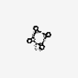 [O-][n+]1c2nc(nc3[nH]c(nc4nc(nc5[nH]c1c1ccccc51)-c1ccccc1-4)c1ccccc31)-c1ccccc1-2.[SiH4]